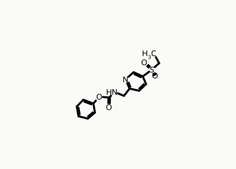 CCS(=O)(=O)c1ccc(CNC(=O)Oc2ccccc2)nc1